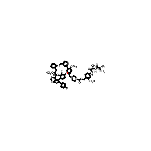 COc1ccccc1-c1nccc(COc2ccccc2C[C@@H](Cc2ncnc3sc(-c4ccc(F)cc4)c(-c4ccc(OCCN5CCN(C(=O)OCc6ccc(NC(=O)[C@H](C)NC(=O)[C@@H](N)C(C)C)cc6S(=O)(=O)O)CC5)c(Cl)c4C)c23)C(=O)O)n1